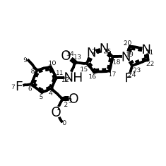 COC(=O)c1cc(F)c(C)cc1NC(=O)c1ccc(-n2cncc2F)nn1